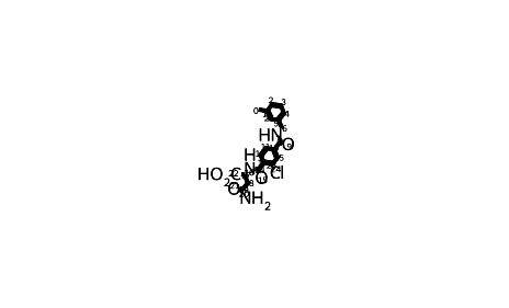 Cc1cccc(CNC(=O)c2ccc(C(=O)NC(CC(N)=O)C(=O)O)c(Cl)c2)c1